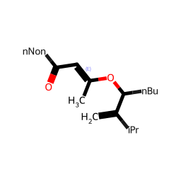 C=C(C(C)C)C(CCCC)O/C(C)=C/C(=O)CCCCCCCCC